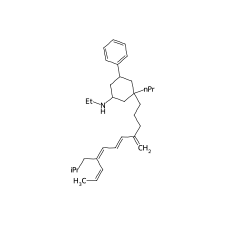 C=C(/C=C/C=C(\C=C/C)CC(C)C)CCCC1(CCC)CC(NCC)CC(c2ccccc2)C1